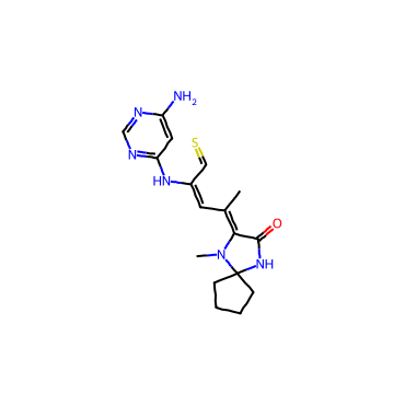 CC(/C=C(\C=S)Nc1cc(N)ncn1)=C1\C(=O)NC2(CCCC2)N1C